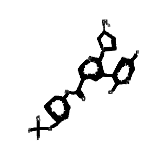 C[C@@H]1CCN(c2ncc(C(=O)Nc3ccc(OC(F)(F)Cl)cc3)cc2-c2cc(F)cnc2Cl)C1